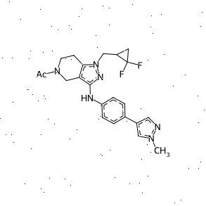 CC(=O)N1CCc2c(c(Nc3ccc(-c4cnn(C)c4)cc3)nn2CC2CC2(F)F)C1